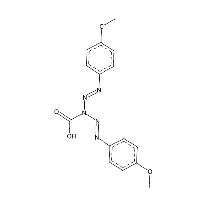 COc1ccc(N=NN(N=Nc2ccc(OC)cc2)C(=O)O)cc1